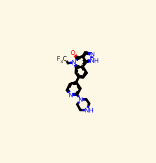 O=c1c2cn[nH]c2c2ccc(-c3ccnc(N4CCNCC4)c3)cc2n1CC(F)(F)F